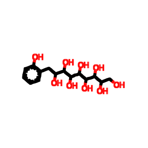 OCC(O)C(O)C(O)C(O)C(O)C(O)C(O)Cc1ccccc1O